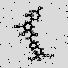 CC(C)(C)c1cc(N2CCC(=O)NC2=O)cc(C(=O)Nc2cc(CN(C(=O)O)S(C)(=O)=O)cs2)c1O